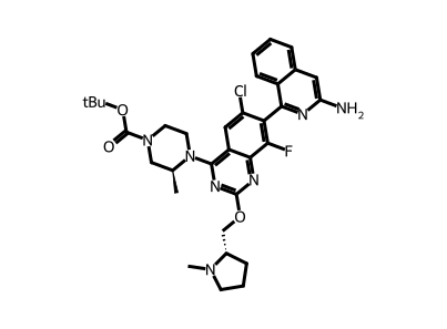 C[C@H]1CN(C(=O)OC(C)(C)C)CCN1c1nc(OC[C@@H]2CCCN2C)nc2c(F)c(-c3nc(N)cc4ccccc34)c(Cl)cc12